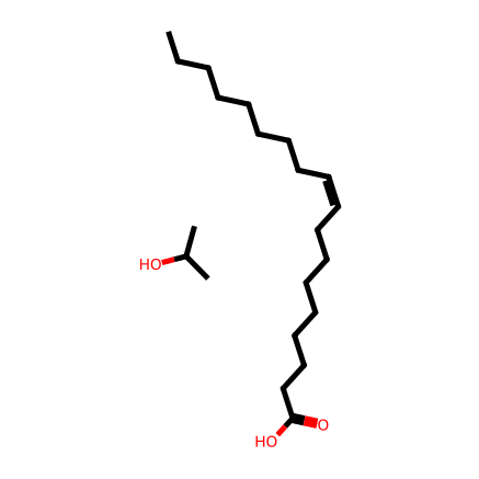 CC(C)O.CCCCCCCC/C=C\CCCCCCCC(=O)O